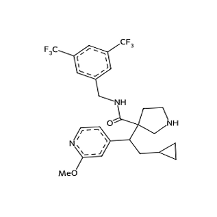 COc1cc(C(CC2CC2)C2(C(=O)NCc3cc(C(F)(F)F)cc(C(F)(F)F)c3)CCNC2)ccn1